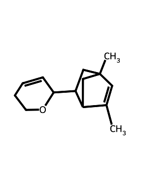 CC1=CC2(C)CC1C(C1C=CCCO1)C2